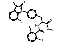 COC(=O)C(Cc1ccc(-n2c(=O)n(C)c3cccc(Cl)c32)cc1)NC(=O)c1c(F)cccc1Cl